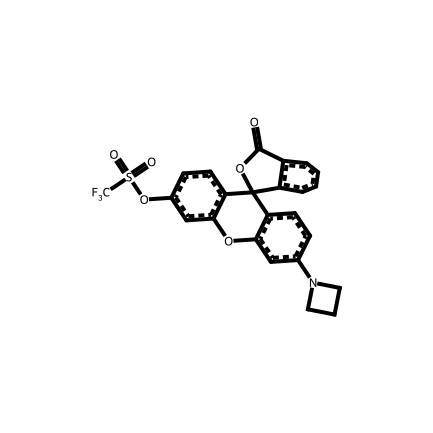 O=C1OC2(c3ccc(OS(=O)(=O)C(F)(F)F)cc3Oc3cc(N4CCC4)ccc32)c2ccccc21